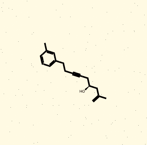 C=C(C)C[C@@H](O)CC#CCCc1cccc(C)c1